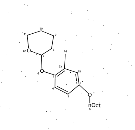 CCCCCCCCOc1ccc(OC2CCCCO2)c(I)c1